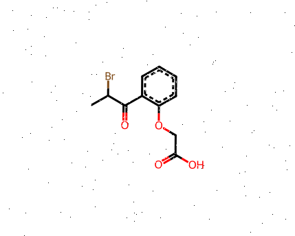 CC(Br)C(=O)c1ccccc1OCC(=O)O